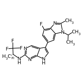 Cc1nc2c(F)cc(-c3c[nH]c4nc(N[C@H](C)C(F)(F)F)ncc34)cc2n1C(C)C